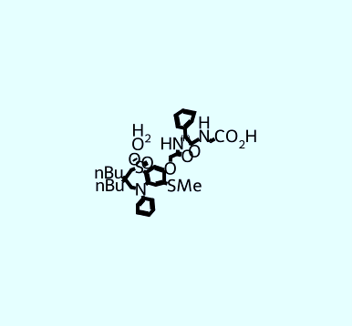 CCCCC1(CCCC)CN(c2ccccc2)c2cc(SC)c(OCC(=O)N[C@@H](C(=O)NCC(=O)O)c3ccccc3)cc2S(=O)(=O)C1.O